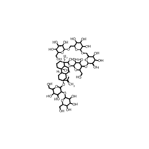 C=C1C[C@@]23CCC4[C@](C)(C(O)OC5OC(CO)C(OC6OC(COC7OC(COC8OC(CO)C(O)C(O)C8O)C(O)C(O)C7O)C(O)C(O)C6O)C(O)C5O)CCC[C@@]4(C)[C@@H]2CC[C@]1(OC1OC(CO)C(O)C(O)C1OC1OC(CO)C(O)C(O)C1O)C3